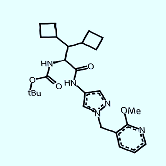 COc1ncccc1Cn1cc(NC(=O)[C@@H](NC(=O)OC(C)(C)C)C(C2CCC2)C2CCC2)cn1